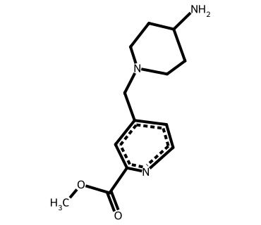 COC(=O)c1cc(CN2CCC(N)CC2)ccn1